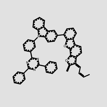 C=c1oc2c(ccc3c4cccc(-c5ccc6c(c5)c5ccccc5n6-c5cccc(-c6nc(-c7ccccc7)nc(-c7ccccc7)n6)c5)c4oc32)/c1=C/C=C\C